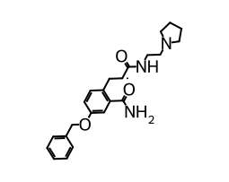 NC(=O)c1cc(OCc2ccccc2)ccc1C[CH]C(=O)NCCN1CCCC1